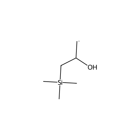 [CH2]C(O)C[Si](C)(C)C